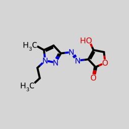 CCCn1nc(N=NC2=C(O)COC2=O)cc1C